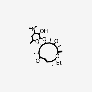 C=C1O[C@H](CC)[C@H](C)/C=C/C(=O)[C@H](C)C[C@H](C)[C@H](O[C@H]2OC(C)CC(N(C)C)C2O)[C@@H](C)C(=O)[C@H]1C